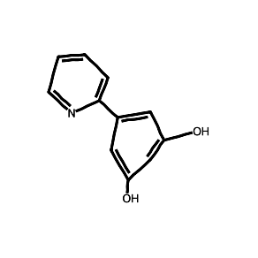 Oc1cc(O)cc(-c2ccccn2)c1